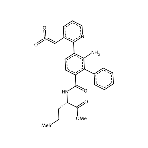 COC(=O)[C@H](CCSC)NC(=O)c1ccc(-c2ncccc2C=S(=O)=O)c(N)c1-c1ccccc1